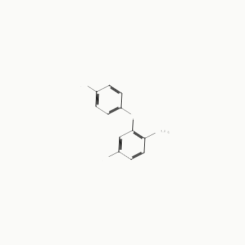 CSc1ccc(C)cc1Sc1ccc(C)cc1